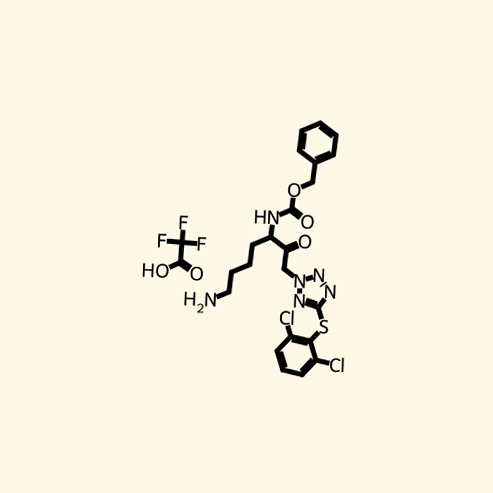 NCCCCC(NC(=O)OCc1ccccc1)C(=O)Cn1nnc(Sc2c(Cl)cccc2Cl)n1.O=C(O)C(F)(F)F